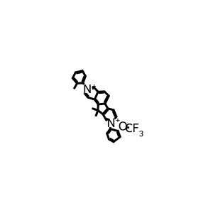 Cc1ccccc1-[n+]1ccc2c3c(ccc2c1)-c1cc[n+](-c2ccccc2OC(F)(F)F)cc1C3(C)C